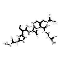 C/C=C(\C(=O)N[C@@H]1C(=O)N2C(C(=O)OCOC(=O)C(C)(C)C)=C(COC(N)=O)CS[C@H]12)c1csc(NC(=O)OC(C)(C)C)n1